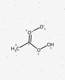 CC(OO)=[O+][O-]